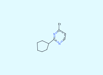 CCc1ccnc(C2CCCCC2)n1